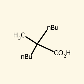 CCCCC(C)(CCCC)C(=O)O